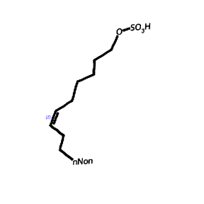 CCCCCCCCCCC/C=C\CCCCCOS(=O)(=O)O